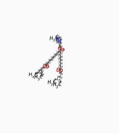 CCCCC(CCCC)CCOC(=O)CCCCCCCCCC(CCCCCCCCCC(=O)OCCC(CCCC)CCCC)C(=O)OCCCN1CCN(C)CC1